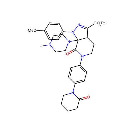 CCOC(=O)C1=NN(c2ccc(OC)cc2)C2(N3CCN(C)CC3)C(=O)N(c3ccc(N4CCCCC4=O)cc3)CCC12